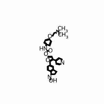 CN(C)CCOc1ccc(NC(=O)Oc2cc(-c3ccncc3)c(-c3ccc4c(c3)CCC4=NO)o2)cc1